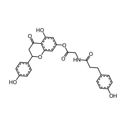 O=C(CCc1ccc(O)cc1)NCC(=O)Oc1cc(O)c2c(c1)OC(c1ccc(O)cc1)CC2=O